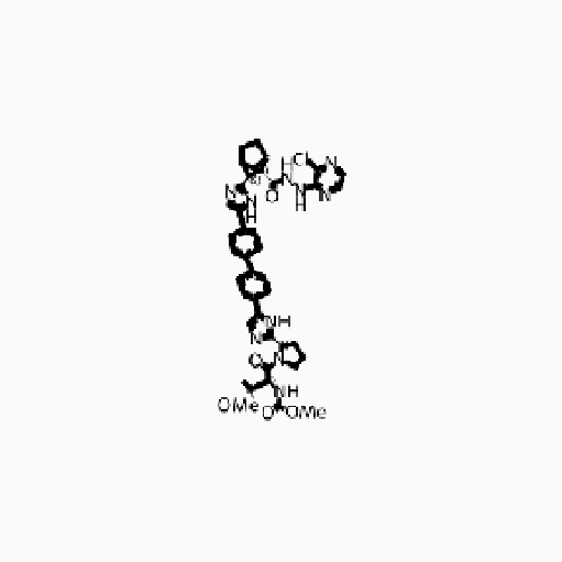 COC(=O)N[C@H](C(=O)N1CCC[C@H]1c1ncc(-c2ccc(-c3ccc(-c4cnc([C@H]5C6CCC(C6)[C@@H]5C(=O)NNc5nccnc5Cl)[nH]4)cc3)cc2)[nH]1)[C@@H](C)OC